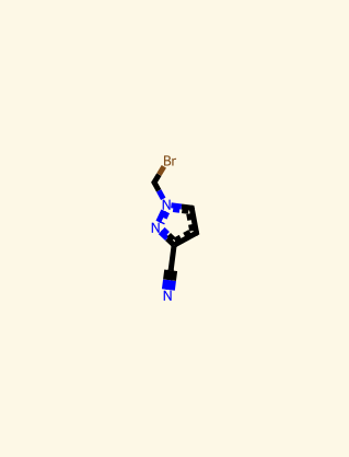 N#Cc1ccn(CBr)n1